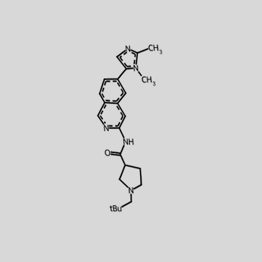 Cc1ncc(-c2ccc3cnc(NC(=O)C4CCN(CC(C)(C)C)C4)cc3c2)n1C